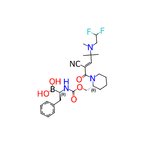 CN(CC(F)F)C(C)(C)C=C(C#N)C(=O)N1CCCC[C@@H]1COC(=O)N[C@@H](Cc1ccccc1)B(O)O